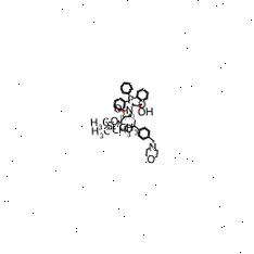 C[C@@H](O[Si](C)(C)C)[C@H]1C(=O)N(C(C(=O)O)=P(c2ccccc2)(c2ccccc2)c2ccccc2)[C@@H]1CC(=O)c1ccc(CN2CCOCC2)cc1